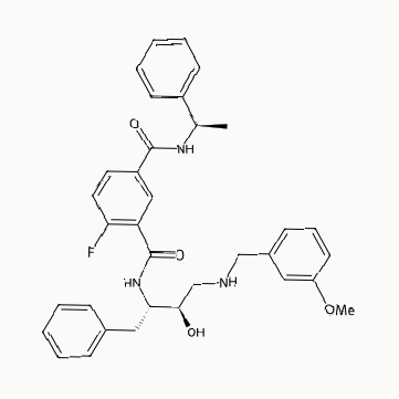 COc1cccc(CNC[C@@H](O)[C@H](Cc2ccccc2)NC(=O)c2cc(C(=O)N[C@H](C)c3ccccc3)ccc2F)c1